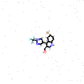 O=Cc1cnc2ccc(Br)cc2c1-c1cnc(C(F)(F)F)nc1